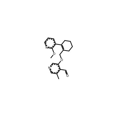 COc1ncccc1C1=C(COc2cncc(C)c2C=O)CCCC1